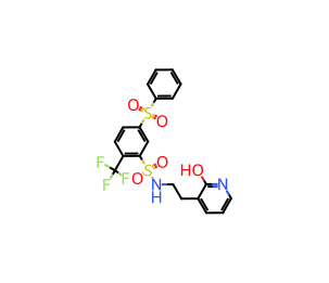 O=S(=O)(NCCc1cccnc1O)c1cc(S(=O)(=O)c2ccccc2)ccc1C(F)(F)F